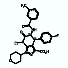 CCN1C(=O)[C@@H](NC(=O)c2cccc(C(F)(F)F)c2)[C@@H](c2ccc(F)cc2)c2c(C(=O)O)nn(C3CCOCC3)c21